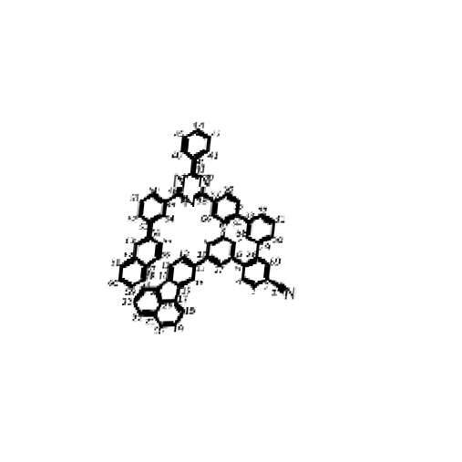 N#Cc1ccc(-c2cccc(-c3ccc4c(c3)-c3cccc5cccc-4c35)c2)c(-c2cccc(-c3ccc(-c4nc(-c5ccccc5)nc(-c5cccc(-c6ccc7ccccc7c6)c5)n4)cc3)c2)c1